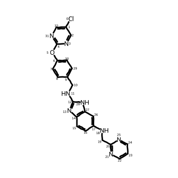 Clc1cnc(Oc2ccc(CNc3nc4ccc(NCc5ncccn5)cc4[nH]3)cc2)nc1